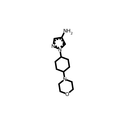 Nc1cnn(C2CCC(N3CCOCC3)CC2)c1